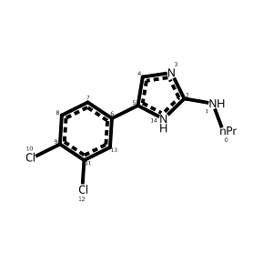 CCCNc1ncc(-c2ccc(Cl)c(Cl)c2)[nH]1